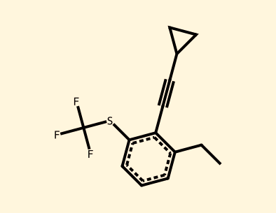 CCc1cccc(SC(F)(F)F)c1C#CC1CC1